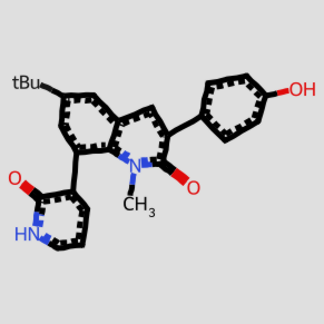 Cn1c(=O)c(-c2ccc(O)cc2)cc2cc(C(C)(C)C)cc(-c3ccc[nH]c3=O)c21